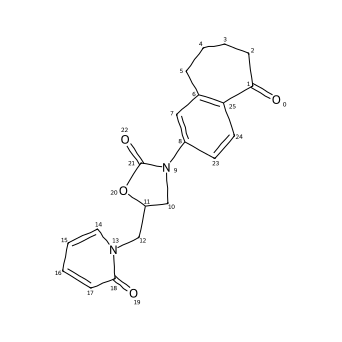 O=C1CCCCc2cc(N3CC(Cn4ccccc4=O)OC3=O)ccc21